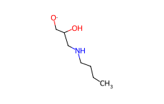 CCCCNCC(O)C[O]